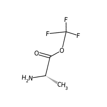 C[C@H](N)C(=O)OC(F)(F)F